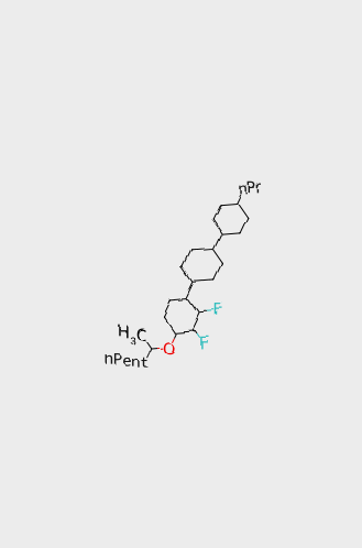 CCCCCC(C)OC1CCC(C2CCC(C3CCC(CCC)CC3)CC2)C(F)C1F